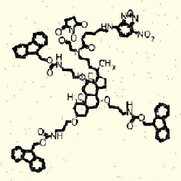 C[C@H](CCCN(CC(=O)ON1C(=O)CCC1=O)C(=O)CCCCCNc1ccc([N+](=O)[O-])c2nonc12)[C@H]1CCC2C3C(C[C@H](OCCCNC(=O)OCC4c5ccccc5-c5ccccc54)[C@@]21C)[C@@]1(C)CC[C@@H](OCCCNC(=O)OCC2c4ccccc4-c4ccccc42)CC1C[C@H]3OCCCNC(=O)OCC1c2ccccc2-c2ccccc21